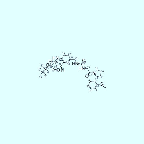 CSc1ccccc1[C@H]1CCCN1C(=O)CNC(=O)NCc1ccc2c(c1)[C@H]1C[C@H](N2)[C@H](O[Si](C)(C)C(C)(C)C)CO1